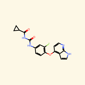 O=C(NC(=O)C1CC1)Nc1ccc(Oc2ccnc3[nH]ccc23)c(F)c1